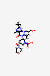 COCCCNc1nc(C(C)(C)C)nc(C)c1C(=O)N(CC(C)C)[C@H]1C[C@@H](C(=O)N2CCOCC2)CN(C(=O)O)C1